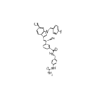 N#C/C(=C\c1cn(Cc2ccc(F)cc2)c2cc(Cl)ccc12)c1cccc(C(=O)NCc2ccc(NC(N)=O)cc2)c1